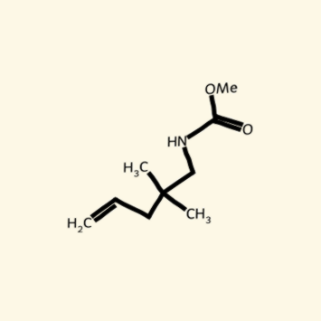 C=CCC(C)(C)CNC(=O)OC